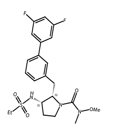 CCS(=O)(=O)N[C@H]1CCN(C(=O)N(C)OC)[C@H]1Cc1cccc(-c2cc(F)cc(F)c2)c1